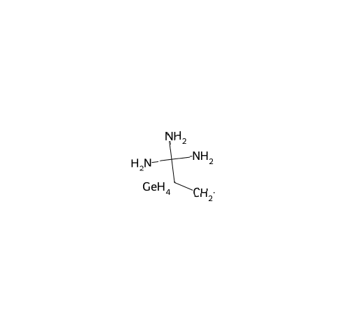 [CH2]CC(N)(N)N.[GeH4]